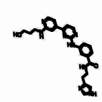 O=C(NCCc1c[nH]cn1)c1cccc(Nc2nccc(-c3ccnc(NCCCO)c3)n2)c1